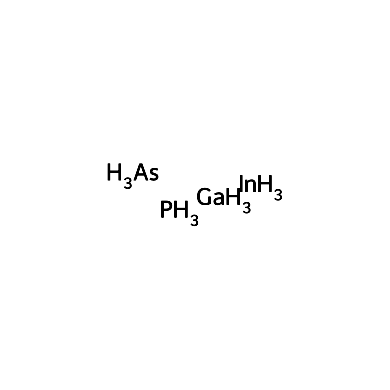 P.[AsH3].[GaH3].[InH3]